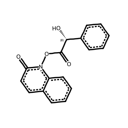 O=C(On1c(=O)ccc2ccccc21)[C@H](O)c1ccccc1